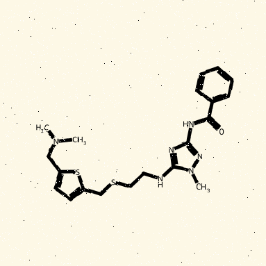 CN(C)Cc1ccc(CSCCNc2nc(NC(=O)c3ccccc3)nn2C)s1